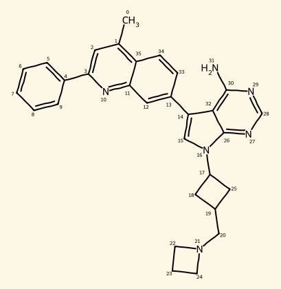 Cc1cc(-c2ccccc2)nc2cc(-c3cn(C4CC(CN5CCC5)C4)c4ncnc(N)c34)ccc12